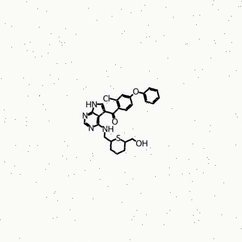 O=C(c1ccc(Oc2ccccc2)cc1Cl)c1c[nH]c2ncnc(NCC3CCCC(CO)S3)c12